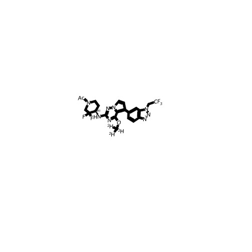 [2H]C([2H])([2H])Oc1nc(N[C@@H]2CCN(C(C)=O)CC2(F)F)nn2ccc(-c3ccc4nnn(CC(F)(F)F)c4c3)c12